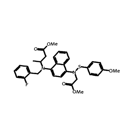 COC(=O)CC(C)N(Cc1ccccc1F)c1ccc(N(CC(=O)OC)Sc2ccc(OC)cc2)c2ccccc12